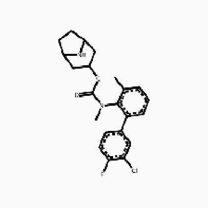 Cc1cccc(-c2ccc(F)c(Cl)c2)c1N(C)C(=O)OC1CC2CCC(C1)N2